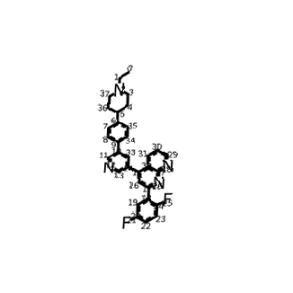 CCN1CCC(c2ccc(-c3cncc(-c4cc(-c5cc(F)ccc5F)nc5ncccc45)c3)cc2)CC1